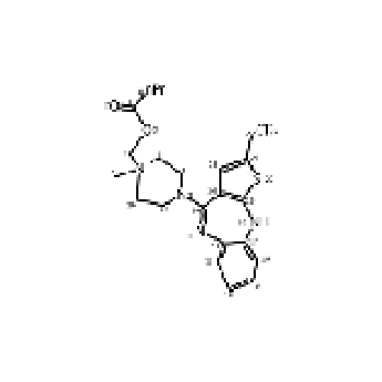 CCCC(=O)OC[N+]1(C)CCN(C2=Nc3ccccc3Nc3sc(C)cc32)CC1.[Cl-]